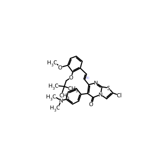 COc1cccc(/C=C/c2nc3sc(Cl)cn3c(=O)c2-c2ccc(N(C)C)cc2)c1OCC(C)(C)C